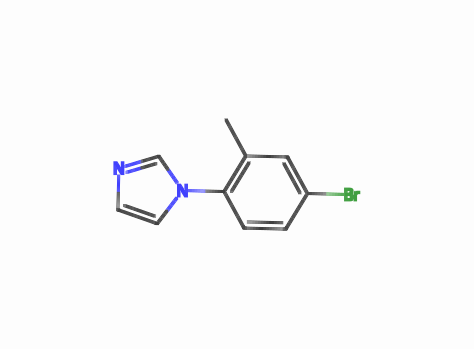 Cc1cc(Br)ccc1-n1ccnc1